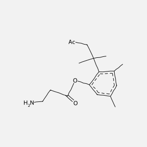 CC(=O)CC(C)(C)c1c(C)cc(C)cc1OC(=O)CCN